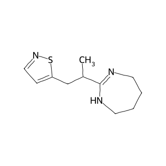 CC(Cc1ccns1)C1=NCCCCN1